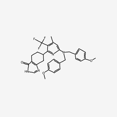 COc1ccc(CN(Cc2ccc(OC)cc2)c2cc(C)c(C(F)(F)F)c(C3CCc4c(nc[nH]c4=O)C3)n2)cc1